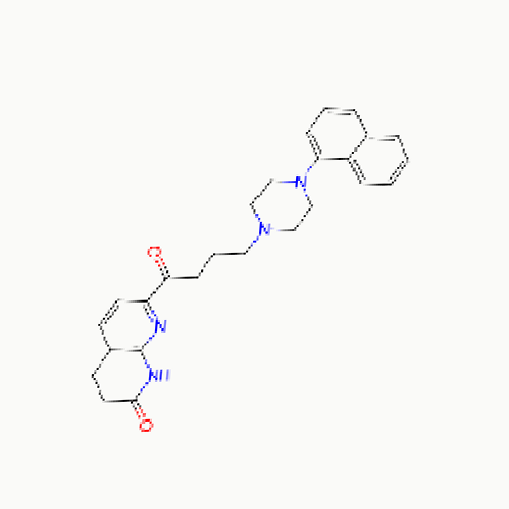 O=C1CCc2ccc(C(=O)CCCN3CCN(c4cccc5ccccc45)CC3)nc2N1